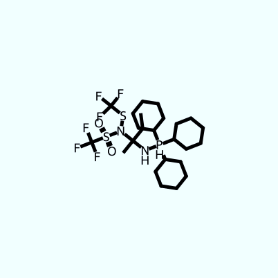 CCC(C)(N[PH](C1CCCCC1)(C1CCCCC1)C1CCCCC1)N(SC(F)(F)F)S(=O)(=O)C(F)(F)F